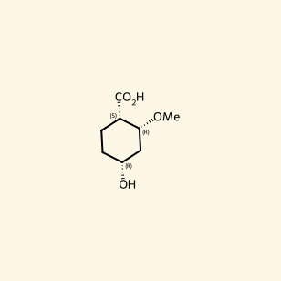 CO[C@@H]1C[C@H](O)CC[C@@H]1C(=O)O